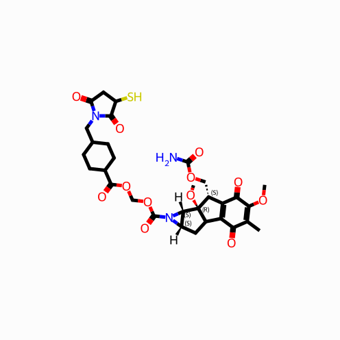 COC1=C(C)C(=O)C2=C(C1=O)[C@@H](COC(N)=O)[C@]1(OC)C2C[C@H]2[C@@H]1N2C(=O)OCOC(=O)C1CCC(CN2C(=O)CC(S)C2=O)CC1